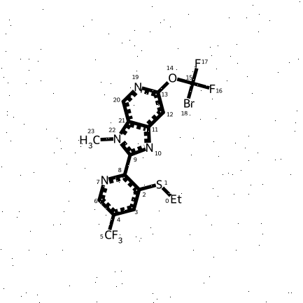 CCSc1cc(C(F)(F)F)cnc1-c1nc2cc(OC(F)(F)Br)ncc2n1C